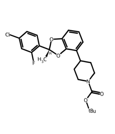 CC(C)(C)OC(=O)N1CCC(c2cccc3c2O[C@](C)(c2ccc(Cl)cc2F)O3)CC1